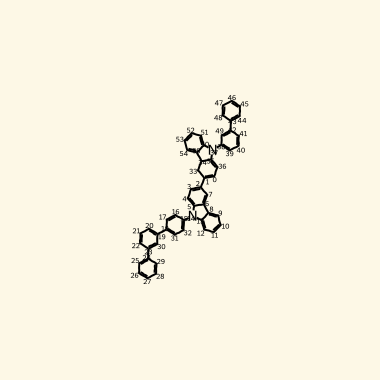 C1=C(c2ccc3c(c2)c2ccccc2n3-c2ccc(-c3cccc(-c4ccccc4)c3)cc2)CC2C(=C1)N(c1cccc(-c3ccccc3)c1)c1ccccc12